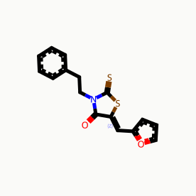 O=C1/C(=C/c2ccco2)SC(=S)N1CCc1ccccc1